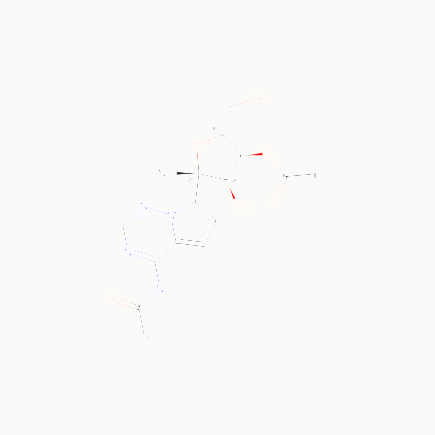 CCCC(=O)Nc1ncnn2c([C@]3(C#N)O[C@H](CO)[C@@H](OC(=O)C(C)C)[C@H]3O)ccc12